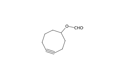 O=[C]OC1CCC#CCCC1